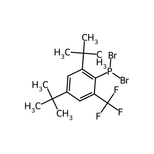 CC(C)(C)c1cc(C(C)(C)C)c(P(Br)Br)c(C(F)(F)F)c1